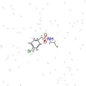 CCCNS(=O)(=O)Cc1ccc(Br)cc1